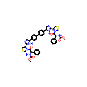 COC(=O)N[C@@H](C(=O)N1CSC[C@H]1C1=NCC(c2ccc(-c3ccc(-c4cnc([C@@H]5CSCN5C(=O)[C@H](NC(=O)OC)c5ccccc5)[nH]4)cc3)cc2)N1)c1ccccc1